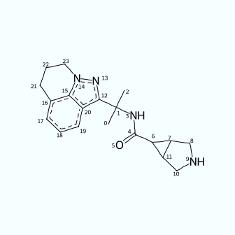 CC(C)(NC(=O)C1C2CNCC21)c1nn2c3c(cccc13)CCC2